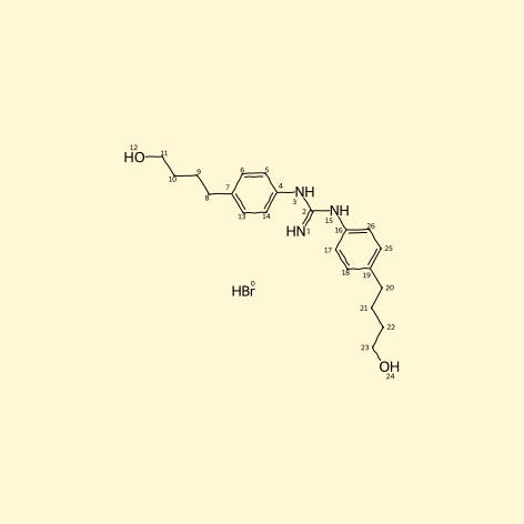 Br.N=C(Nc1ccc(CCCCO)cc1)Nc1ccc(CCCCO)cc1